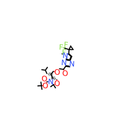 CC(C)C[C@H](COCC(=O)c1cnc2cc(C3(C(F)(F)F)CC3)n(C)c2n1)[C@@H]1COC(C)(C)N1C(=O)OC(C)(C)C